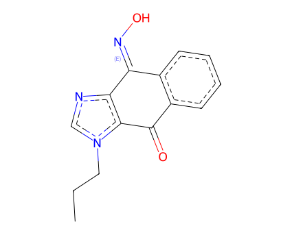 CCCn1cnc2c1C(=O)c1ccccc1/C2=N\O